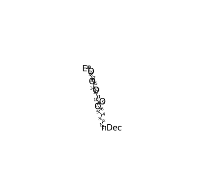 CCCCCCCCCCCCCCCCOC(=O)CCCOCCOCCOCC